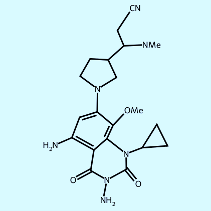 CNC(CC#N)C1CCN(c2cc(N)c3c(=O)n(N)c(=O)n(C4CC4)c3c2OC)C1